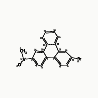 C[S+]([O-])c1ccc2c3ccc(Br)cc3c3ccccc3c2c1